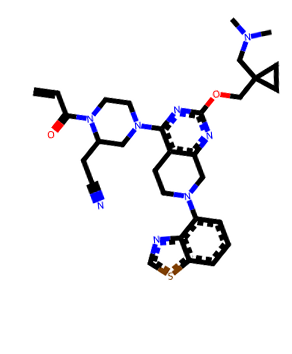 C=CC(=O)N1CCN(c2nc(OCC3(CN(C)C)CC3)nc3c2CCN(c2cccc4scnc24)C3)CC1CC#N